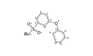 CCC(C)S(=O)(=O)c1cccc(Oc2ccccc2)c1